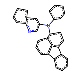 c1ccc(N(c2cnc3ccccc3c2)c2ccc3c4c(cccc24)-c2ccccc2-3)cc1